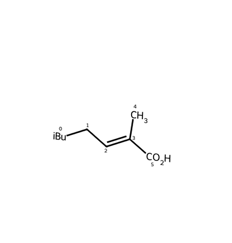 [CH2]CC(C)CC=C(C)C(=O)O